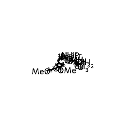 COCCCOc1cc(CC(CC(N)C(O)C[C@H](C(=O)NCC(C)(C)C(N)=O)C(C)C)C(C)C)ccc1OC